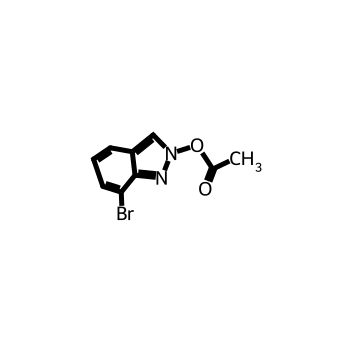 CC(=O)On1cc2cccc(Br)c2n1